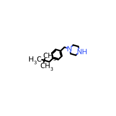 CC(C)(C)Cc1ccc(CN2CCNCC2)cc1